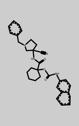 N#CC1(NC(=O)C2(OC(=O)Nc3ccc4ccccc4c3)CCCCC2)CCN(Cc2ccccc2)C1